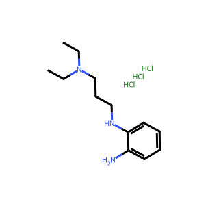 CCN(CC)CCCNc1ccccc1N.Cl.Cl.Cl